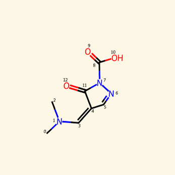 CN(C)C=C1C=NN(C(=O)O)C1=O